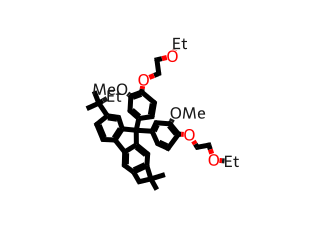 CCOCCOc1ccc(C2(c3ccc(OCCOCC)c(OC)c3)c3cc(C(C)(C)CC)ccc3-c3cc4c(cc32)C(C)(C)C4)cc1OC